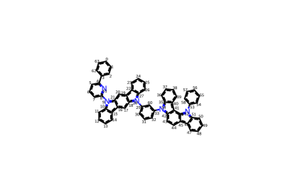 c1ccc(-c2cccc(-n3c4ccccc4c4cc5c(cc43)c3ccccc3n5-c3cccc(-n4c5ccccc5c5c4ccc4c6ccccc6n(-c6ccccc6)c45)c3)n2)cc1